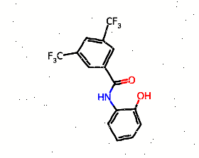 O=C(Nc1ccccc1O)c1cc(C(F)(F)F)cc(C(F)(F)F)c1